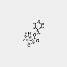 CC(C)NC1(C(=O)OCc2ccccc2)COC1